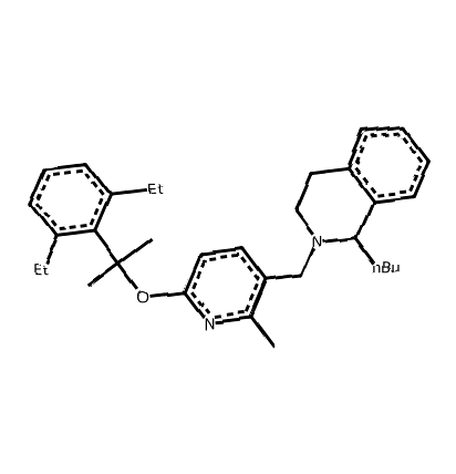 CCCCC1c2ccccc2CCN1Cc1ccc(OC(C)(C)c2c(CC)cccc2CC)nc1C